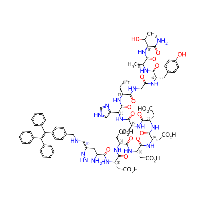 CC(C)C[C@H](NC(=O)[C@@H](NC(=O)[C@@H](NC(=O)[C@H](CC(=O)O)NC(=O)[C@H](CC(=O)O)NC(=O)[C@H](CC(=O)O)NC(=O)[C@H](CC(=O)O)NC(=O)[C@H](CC(=O)O)NC(=O)C(N)C/C(=C/NCc1ccc(C(=C(c2ccccc2)c2ccccc2)c2ccccc2)cc1)N=N)C(C)C)c1c[nH]cn1)C(=O)NCC(=O)N[C@@H](Cc1ccc(O)cc1)C(=O)N[C@@H](C)C(=O)N[C@H](C(N)=O)C(C)O